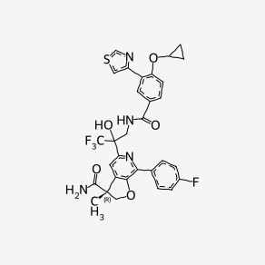 C[C@]1(C(N)=O)COc2c1cc(C(O)(CNC(=O)c1ccc(OC3CC3)c(-c3cscn3)c1)C(F)(F)F)nc2-c1ccc(F)cc1